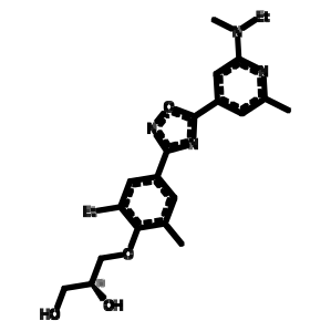 CCc1cc(-c2noc(-c3cc(C)nc(N(C)CC)c3)n2)cc(C)c1OC[C@@H](O)CO